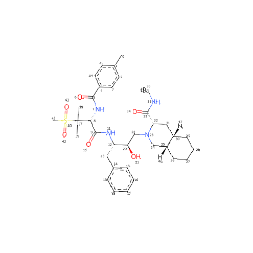 Cc1ccc(C(=O)N[C@H](C(=O)N[C@@H](Cc2ccccc2)[C@H](O)CN2C[C@H]3CCCC[C@H]3C[C@H]2C(=O)NC(C)(C)C)C(C)(C)S(C)(=O)=O)cc1